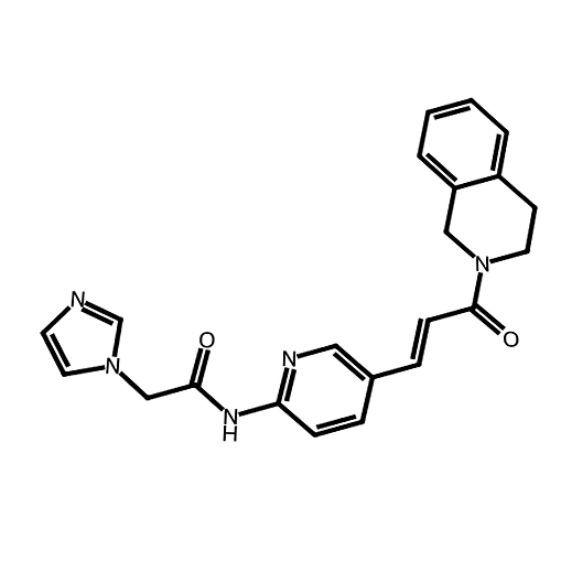 O=C(Cn1ccnc1)Nc1ccc(C=CC(=O)N2CCc3ccccc3C2)cn1